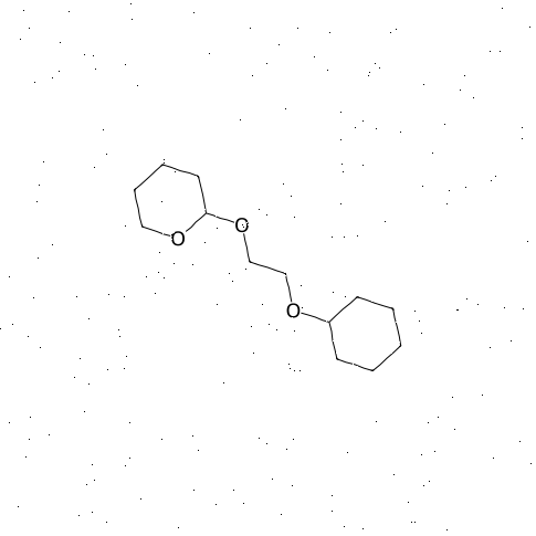 C1CCC(OCCOC2CCCCO2)CC1